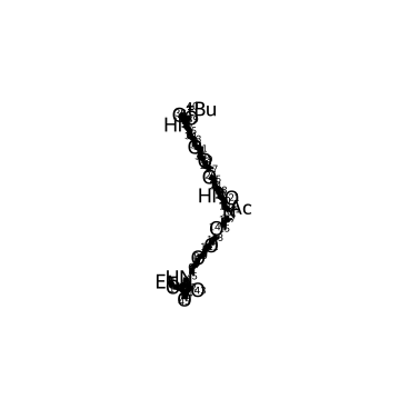 CCOc1c(NCCCOCCOCCOCCCN(CC(=O)NCCCOCCOCCOCCCNC(=O)OC(C)(C)C)C(C)=O)c(=O)c1=O